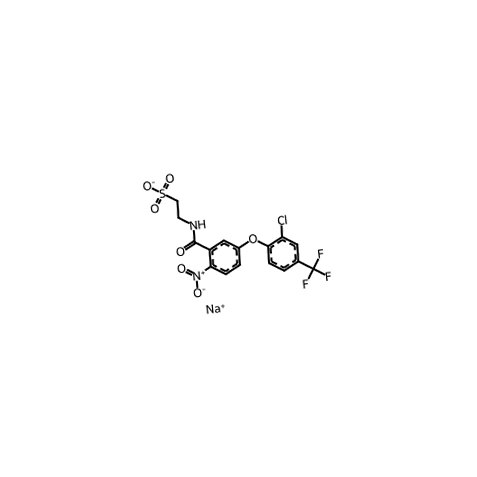 O=C(NCCS(=O)(=O)[O-])c1cc(Oc2ccc(C(F)(F)F)cc2Cl)ccc1[N+](=O)[O-].[Na+]